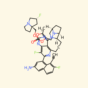 C#Cc1c(F)ccc2cc(N)cc(-c3nc4c5c(nc(OC[C@@]67CCCN6C[C@H](F)C7)nc5c3F)N3C[C@H]5CC[C@@H]([C@H]3CCC4)N5Cc3oc(=O)oc3C)c12